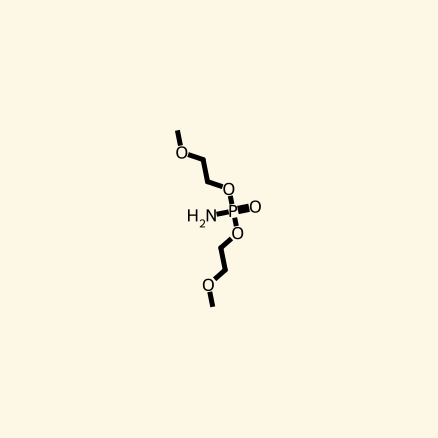 COCCOP(N)(=O)OCCOC